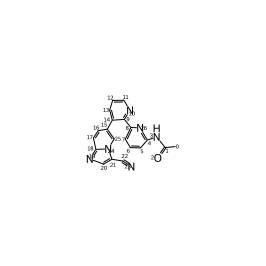 CC(=O)Nc1cccc(-c2ncccc2-c2ccc3ncc(C#N)n3c2)n1